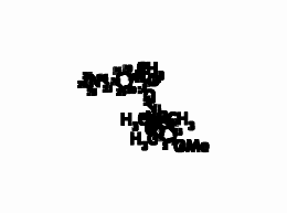 COc1cc(C)c(S(=O)(=O)N(C)CCOCC(=O)N(C)[C@H]2CC[C@@H](CCN3CCC3)CC2)c(C)c1